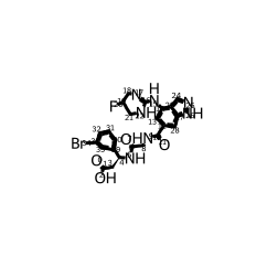 O=C(O)C[C@H](NC(=O)CNC(=O)c1cc(NC2=NCC(F)CN2)c2cn[nH]c2c1)c1cccc(Br)c1